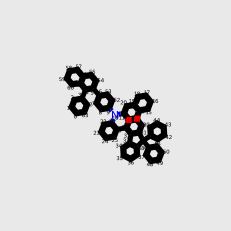 c1ccc(-c2c(-c3ccc(N(c4ccc5ccccc5c4)c4ccccc4-c4cccc5c4-c4ccccc4C5(c4ccccc4)c4ccccc4)cc3)ccc3ccccc23)cc1